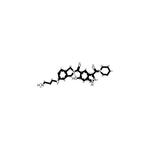 NCCCOc1ccc2c(c1)CN(C(=O)c1cc3c(C(=O)N4CCCCC4)n[nH]c3cc1O)C2